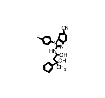 C[C@@](O)(CC(O)Nc1nc2ccc(C#N)cc2n1-c1ccc(F)cc1)c1ccccc1